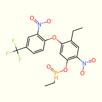 CCc1cc([N+](=O)[O-])c(O[PH](=O)CC)cc1Oc1ccc(C(F)(F)F)cc1[N+](=O)[O-]